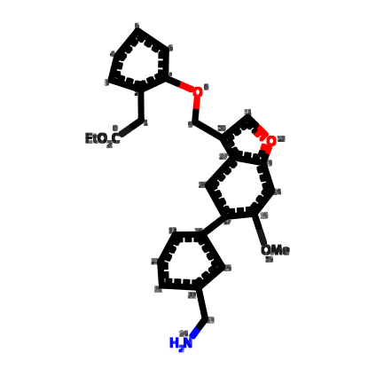 CCOC(=O)Cc1ccccc1OCc1coc2cc(OC)c(-c3cccc(CN)c3)cc12